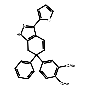 COc1ccc(C2(c3ccccc3)C=Cc3c(-c4cccs4)n[nH]c3C2)cc1OC